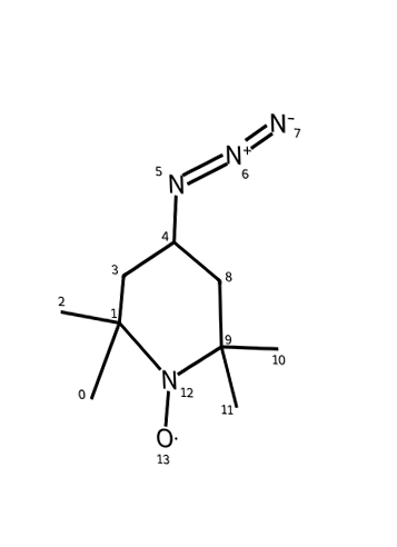 CC1(C)CC(N=[N+]=[N-])CC(C)(C)N1[O]